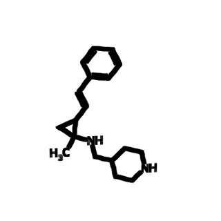 CC1(NCC2CCNCC2)CC1/C=C/c1ccccc1